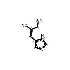 N#CC/C(C#N)=C\c1cnc[nH]1